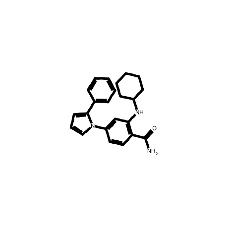 NC(=O)c1ccc(-n2cccc2-c2ccccc2)cc1NC1CCCCC1